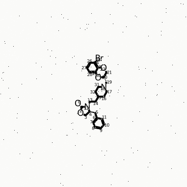 O=C1OC[C@H](Cc2ccccc2)N1CCC1CCN(C[C@H]2COc3c(Br)cccc3O2)CC1